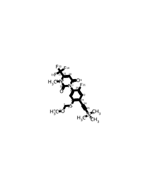 COCSc1cc(-n2c(=O)cc(C(F)(F)F)n(C)c2=O)c(F)cc1C#C[Si](C)(C)C